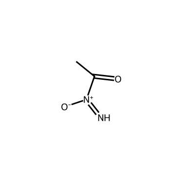 CC(=O)[N+](=N)[O-]